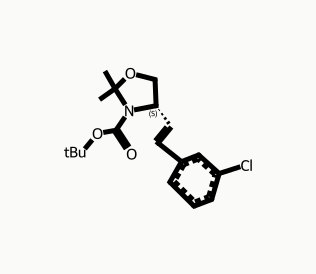 CC(C)(C)OC(=O)N1[C@@H](C=Cc2cccc(Cl)c2)COC1(C)C